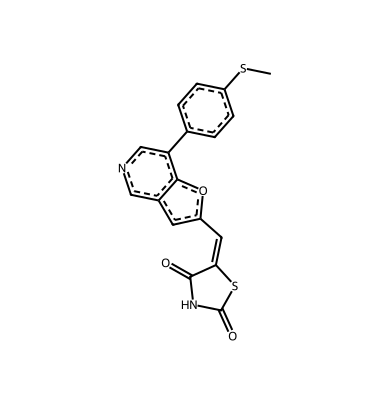 CSc1ccc(-c2cncc3cc(C=C4SC(=O)NC4=O)oc23)cc1